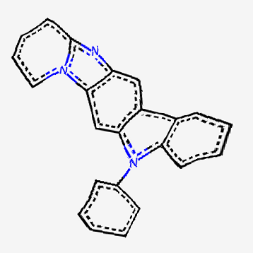 c1ccc(-n2c3ccccc3c3cc4nc5ccccn5c4cc32)cc1